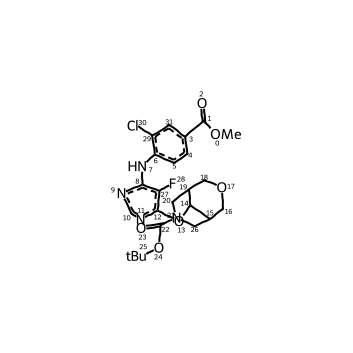 COC(=O)c1ccc(Nc2ncnc(OC3C4COCC3CN(C(=O)OC(C)(C)C)C4)c2F)c(Cl)c1